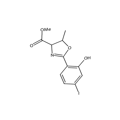 COC(=O)C1N=C(c2ccc(I)cc2O)OC1C